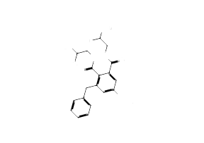 CCCCC(CC)COC(=O)c1cc(C(=O)O)cc(Cc2ccccc2)c1C(=O)OCC(CC)CCCC